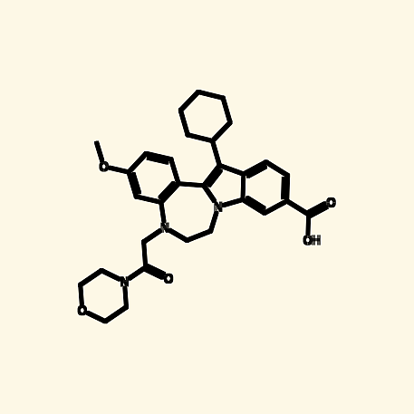 COc1ccc2c(c1)N(CC(=O)N1CCOCC1)CCn1c-2c(C2CCCCC2)c2ccc(C(=O)O)cc21